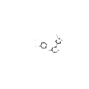 Cn1cc(-c2cc(Oc3ccc(O)c(C(=O)O)c3)ccn2)cn1